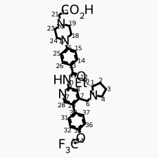 CC[C@@H]1CCCN1Cc1cc(NC(=O)c2ccc(N3CCN(CC(=O)O)CC3)cc2)ncc1-c1ccc(OC(F)(F)F)cc1